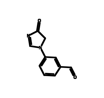 O=Cc1cccc(N2C=NC(=O)C2)c1